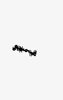 CCCCN(CC(OC)OC)C(=O)CCOCCc1ccc(CCN2C[C@H]3C[C@H](OC(=O)Nc4ccccc4-c4ccccc4)C[C@H]3C2)cc1